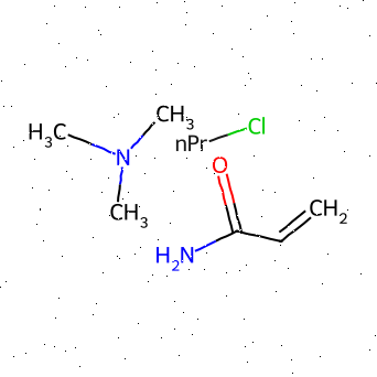 C=CC(N)=O.CCCCl.CN(C)C